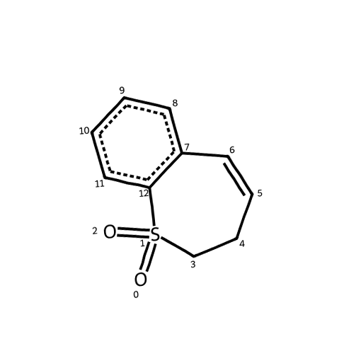 O=S1(=O)CCC=Cc2ccccc21